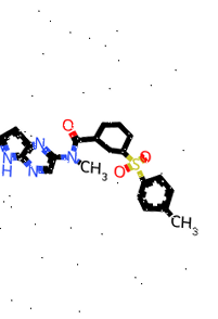 Cc1ccc(S(=O)(=O)C2CCCC(C(=O)N(C)c3cnc4[nH]ccc4n3)C2)cc1